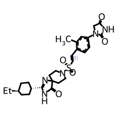 CC[C@H]1CC[C@H](C2=NC3(CCN(S(=O)(=O)/C=C/c4ccc(N5CC(=O)NC5=O)cc4C)CC3)C(=O)N2)CC1